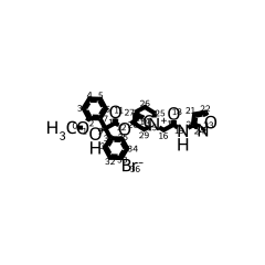 COc1ccccc1[C@@](O)(C(=O)OC1C[N+]2(CC(=O)Nc3ccon3)CCC1CC2)c1ccccc1.[Br-]